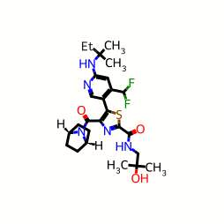 CCC(C)(C)Nc1cc(C(F)F)c(-c2sc(C(=O)NCC(C)(C)O)nc2C(=O)N2[C@H]3CC[C@@H]2CC3)cn1